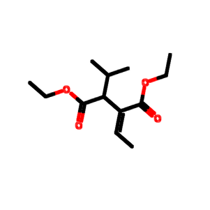 CC=C(C(=O)OCC)C(C(=O)OCC)C(C)C